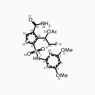 COc1cc(OC)nc(NS(=O)(=O)c2scc(C(N)=O)c2C(CF)OC(C)=O)n1